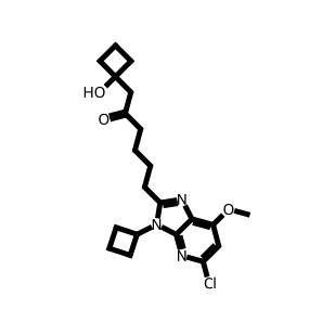 COc1cc(Cl)nc2c1nc(CCCCC(=O)CC1(O)CCC1)n2C1CCC1